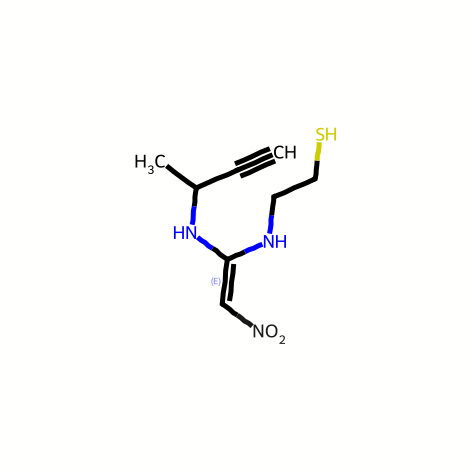 C#CC(C)N/C(=C/[N+](=O)[O-])NCCS